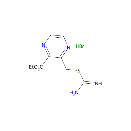 Br.CCOC(=O)c1nccnc1CSC(=N)N